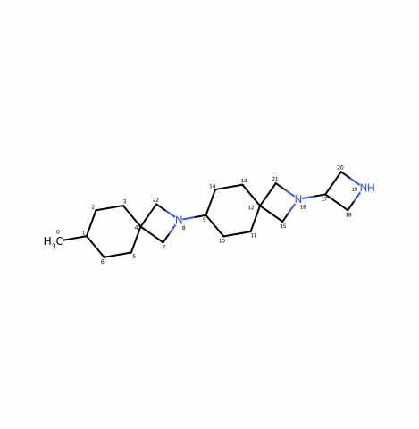 CC1CCC2(CC1)CN(C1CCC3(CC1)CN(C1CNC1)C3)C2